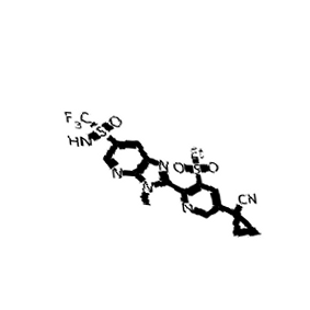 CCS(=O)(=O)c1cc(C2(C#N)CC2)cnc1-c1nc2cc(S(=N)(=O)C(F)(F)F)cnc2n1C